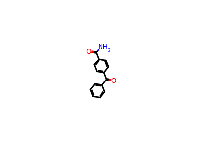 NC(=O)c1ccc(C(=O)c2ccccc2)cc1